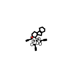 C#CC(=O)[O][Ti]([O]C(=O)C#C)([O]C(=O)C#C)[CH]1CCCC2=C1CC1=C2CCCC1